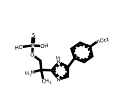 CCCCCCCCc1ccc(-c2cnc(C(C)(N)COP(O)(O)=S)[nH]2)cc1